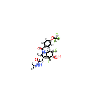 Cc1c(CC(=O)NC(C)C)c2c(F)c(O)c(F)cc2n1C(=O)c1ccc(OC(F)(F)F)cc1